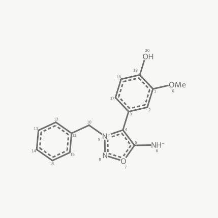 COc1cc(-c2c([NH-])on[n+]2Cc2ccccc2)ccc1O